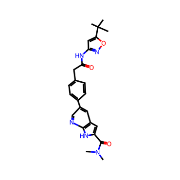 CN(C)C(=O)c1cc2cc(-c3ccc(CC(=O)Nc4cc(C(C)(C)C)on4)cc3)cnc2[nH]1